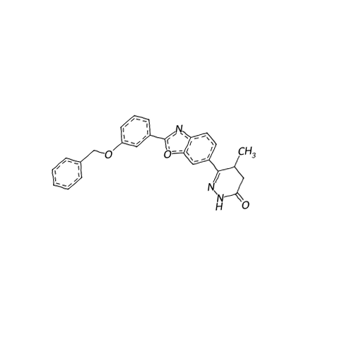 CC1CC(=O)NN=C1c1ccc2nc(-c3cccc(OCc4ccccc4)c3)oc2c1